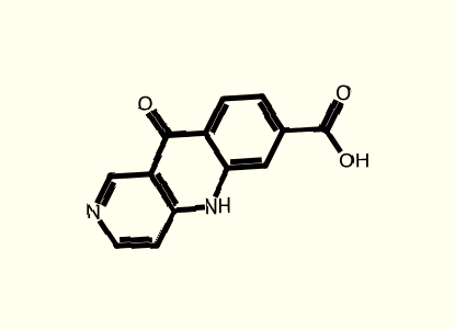 O=C(O)c1ccc2c(=O)c3cnccc3[nH]c2c1